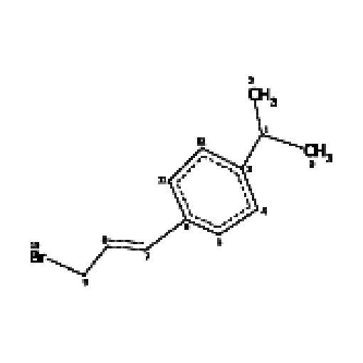 CC(C)c1ccc(C=CCBr)cc1